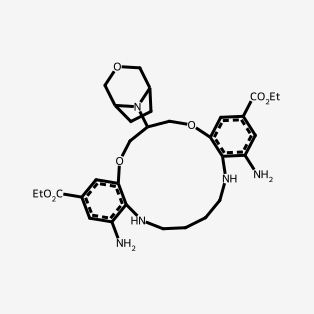 CCOC(=O)c1cc(N)c2c(c1)OCC(N1C3CCC1COC3)COc1cc(C(=O)OCC)cc(N)c1NCCCCN2